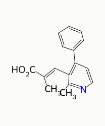 C/C(=C\c1c(-c2ccccc2)ccnc1C)C(=O)O